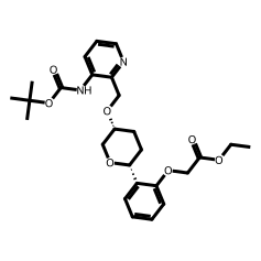 CCOC(=O)COc1ccccc1[C@H]1CC[C@@H](OCc2ncccc2NC(=O)OC(C)(C)C)CO1